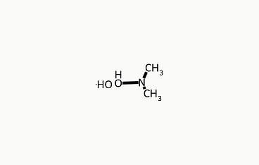 CN(C)O.[OH]